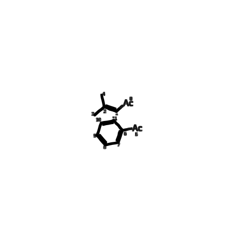 CC(=O)C=C(C)C.CC(=O)c1ccccc1